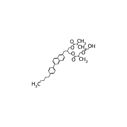 C=C(C)C(=O)OCC(COC(=O)C(=C)COCCO)Cc1ccc2cc(-c3ccc(CCCCC)cc3)ccc2c1